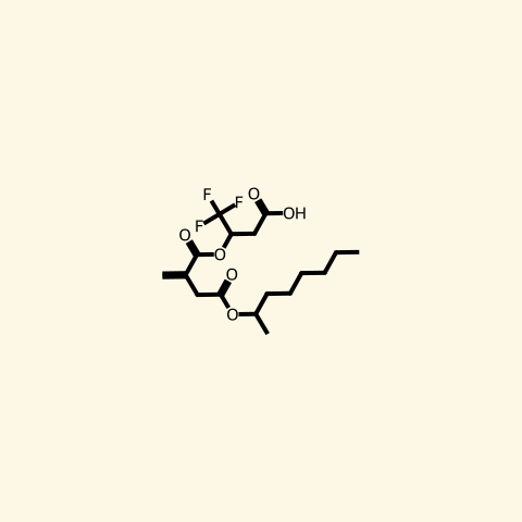 C=C(CC(=O)OC(C)CCCCCC)C(=O)OC(CC(=O)O)C(F)(F)F